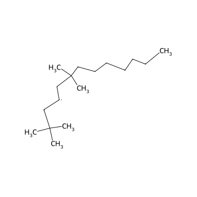 CCCCCCCC(C)(C)C[CH]CC(C)(C)C